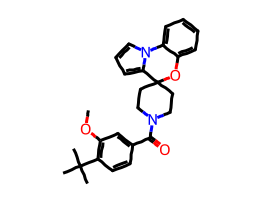 COc1cc(C(=O)N2CCC3(CC2)Oc2ccccc2-n2cccc23)ccc1C(C)(C)C